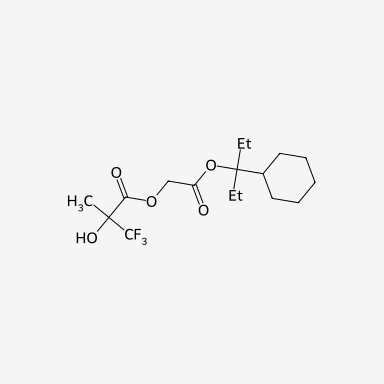 CCC(CC)(OC(=O)COC(=O)C(C)(O)C(F)(F)F)C1CCCCC1